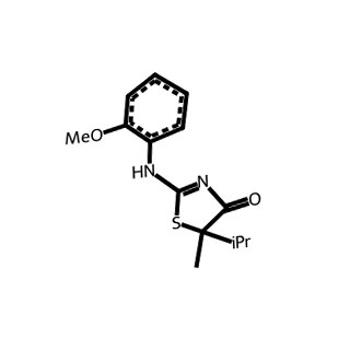 COc1ccccc1NC1=NC(=O)C(C)(C(C)C)S1